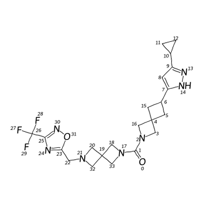 O=C(N1CC2(CC(c3cc(C4CC4)n[nH]3)C2)C1)N1CC2(CN(Cc3nc(C(F)(F)F)no3)C2)C1